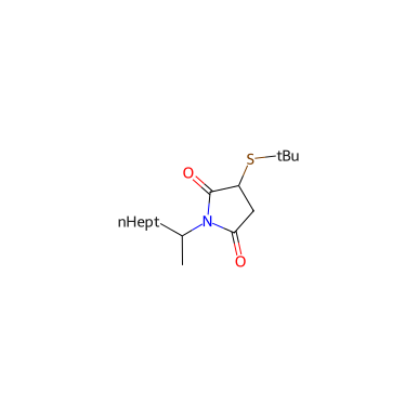 CCCCCCCC(C)N1C(=O)CC(SC(C)(C)C)C1=O